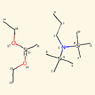 CCCN([Si](C)(C)C)[Si](C)(C)C.CCO[SiH](C)OCC